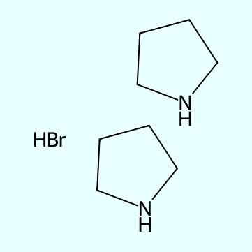 Br.C1CCNC1.C1CCNC1